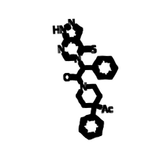 CC(=O)C1(c2ccccc2)CCN(C(=O)C(c2ccccc2)n2cnc3[nH]ncc3c2=S)CC1